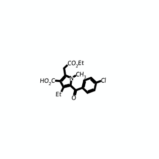 CCOC(=O)Cc1c(C(=O)O)c(CC)c(C(=O)c2ccc(Cl)cc2)n1C